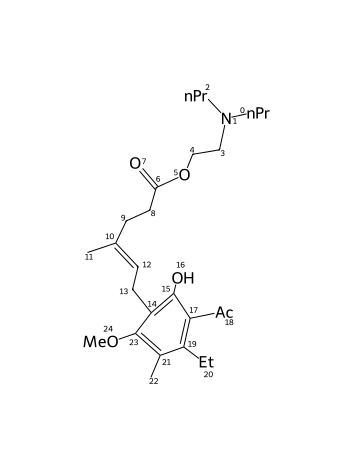 CCCN(CCC)CCOC(=O)CC/C(C)=C/Cc1c(O)c(C(C)=O)c(CC)c(C)c1OC